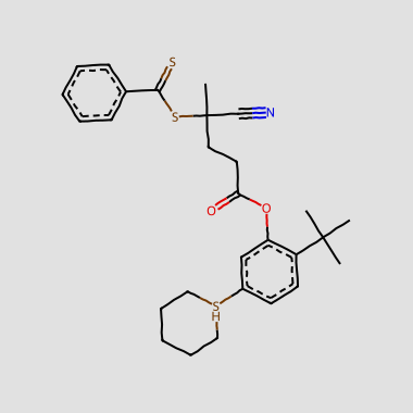 CC(C#N)(CCC(=O)Oc1cc([SH]2CCCCC2)ccc1C(C)(C)C)SC(=S)c1ccccc1